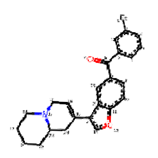 CCc1cccc(C(=O)c2ccc3occ(C4=CCN5CCCCC5C4)c3c2)c1